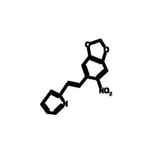 O=[N+]([O-])c1cc2c(cc1C=Cc1ccccn1)OCO2